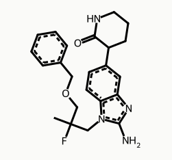 CC(F)(COCc1ccccc1)Cn1c(N)nc2cc(C3CCCNC3=O)ccc21